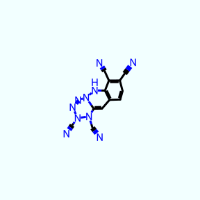 N#Cc1ccc2cc3n(C#N)n(C#N)nnn-3[nH]c2c1C#N